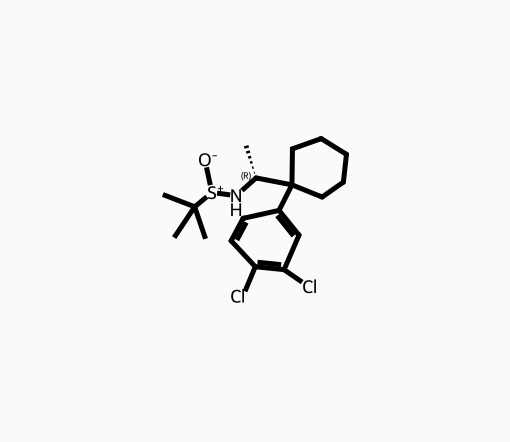 C[C@@H](N[S+]([O-])C(C)(C)C)C1(c2ccc(Cl)c(Cl)c2)CCCCC1